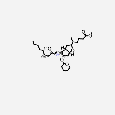 CCCCC[C@H](C)C[C@H](O)/C=C/[C@@H]1[C@H]2CC(C(I)CCCC(=O)OC)O[C@@H]2C[C@H]1OC1CCCCO1